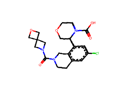 O=C(N1CCc2cc(Cl)cc(C3COCCN3C(=O)O)c2C1)N1CC2(COC2)C1